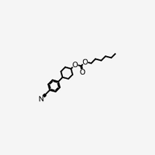 CCCCCCOC(=O)OC1CCC(c2ccc(C#N)cc2)CC1